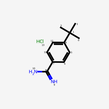 CC(C)(C)c1ccc(C(=N)N)cc1.Cl